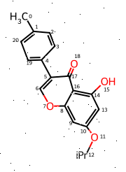 Cc1ccc(-c2coc3cc(OC(C)C)cc(O)c3c2=O)cc1